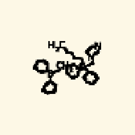 C=CB(c1ccccc1)c1ccccc1.C=CCCC[Si](Cn1ccnc1)(c1ccccc1)c1ccccc1